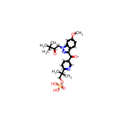 COc1ccc2c(C(=O)c3ccc(C(C)(C)COP(=O)(O)O)nc3)nn(CC(=O)C(C)(C)C)c2c1